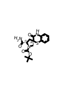 CC(C)(C)OC(=O)N1C[C@@]2(C[C@H]1C(N)=O)Sc1ccccc1NC2=O